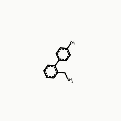 NCc1c[c]ccc1-c1ccc(O)cc1